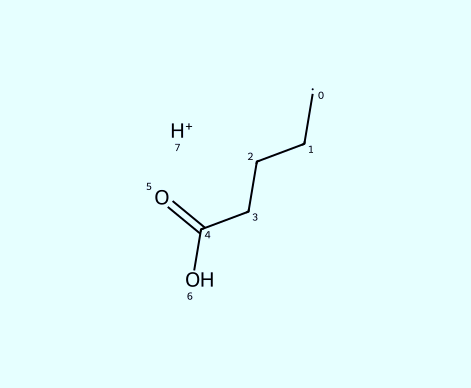 [CH2]CCCC(=O)O.[H+]